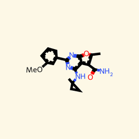 COc1cccc(-c2nc(NC3(C)CC3)c3c(C(N)=O)c(C)oc3n2)c1